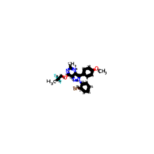 COc1ccc(-c2c3nc(C)nc(OCC(C)(F)F)c3nn2-c2ccccc2Br)cc1